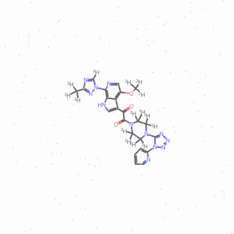 [2H]c1nc(C([2H])([2H])[2H])nn1-c1ncc(OC([2H])([2H])[2H])c2c(C(=O)C(=O)N3C([2H])([2H])C([2H])([2H])N(c4nnnn4-c4ccccn4)C([2H])([2H])C3([2H])[2H])c[nH]c12